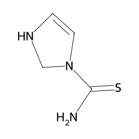 NC(=S)N1C=CNC1